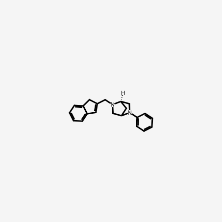 C1=C(CN2CC3C[C@@H]2CN3c2ccccc2)Cc2ccccc21